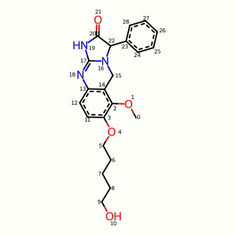 COc1c(OCCCCCO)ccc2c1CN1C(=N2)NC(=O)C1c1ccccc1